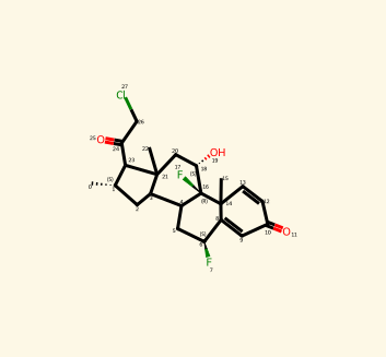 C[C@H]1CC2C3C[C@H](F)C4=CC(=O)C=CC4(C)[C@@]3(F)[C@@H](O)CC2(C)C1C(=O)CCl